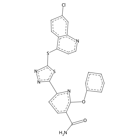 NC(=O)c1ccc(-c2nnc(Sc3ccnc4cc(Cl)ccc34)s2)nc1Oc1ccccc1